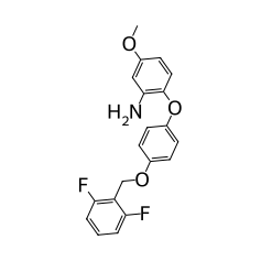 COc1ccc(Oc2ccc(OCc3c(F)cccc3F)cc2)c(N)c1